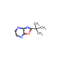 CC(C)(C)c1nc2nccnc2o1